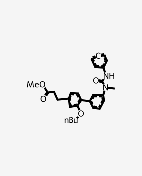 CCCCOc1cc(CCC(=O)OC)ccc1-c1cccc(N(C)C(=O)Nc2ccccc2)c1